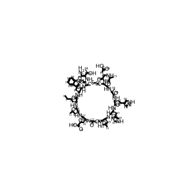 CCCC[C@@H]1NC(=O)[C@H](CCC)NC(=O)[C@H](CCC(=O)O)NC(=O)CNC(=O)[C@H](CC(C)C)NC(=O)[C@H](Cc2c[nH]cn2)NC(=O)[C@H](CCc2c[nH]nn2)NC(=O)[C@H](C)NC(=O)[C@@H](NC(=O)[C@H](CC(=O)O)NC(C)C)CSSC[C@@H](C(=O)NC(C(N)=O)[C@@H](C)O)NC(=O)[C@H](Cc2c[nH]c3ccccc23)NC1=O